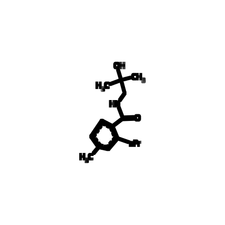 CCCc1cc(C)ccc1C(=O)NCC(C)(C)O